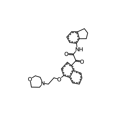 O=C(Nc1cccc2c1CCC2)C(=O)c1ccc(OCCN2CCOCC2)c2ccccc12